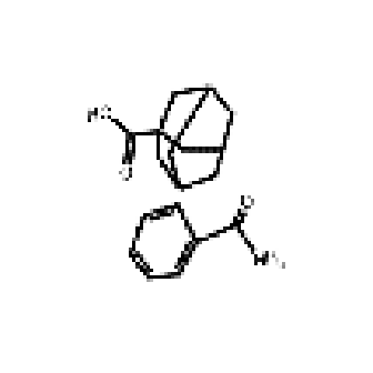 NC(=O)c1ccccc1.O=C(O)C12CC3CC(CC(C3)C1)C2